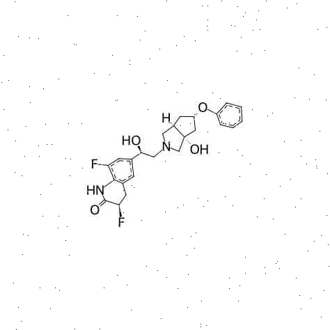 O=C1Nc2c(F)cc([C@@H](O)CN3C[C@H]4C[C@H](Oc5ccccc5)C[C@@]4(O)C3)cc2C[C@H]1F